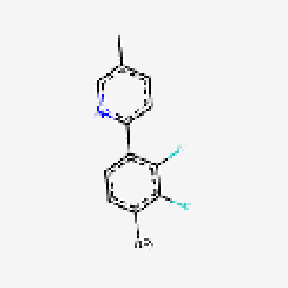 CCCc1ccc(-c2ccc(C)cn2)c(F)c1F